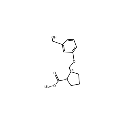 CC(C)(C)OC(=O)N1CCC[C@@H]1COc1cccc(CO)c1